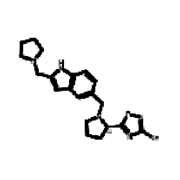 CCc1noc([C@H]2CCCN2Cc2ccc3[nH]c(CN4CCCC4)cc3c2)n1